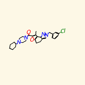 Cc1c(C(=O)N2CCN(C3CCCCC3)CC2)oc2c1-c1nn(Cc3cccc(Cl)c3)cc1CC2